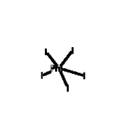 [I][Pm]([I])([I])([I])[I]